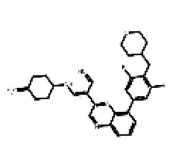 C=C1CCC(N/C=C(\C=N)c2cnc3cccc(-c4cc(F)c(CC5CCOCC5)c(F)c4)c3n2)CC1